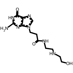 Nc1nc2c(ncn2CCC(=O)NCCNCCO)c(=O)[nH]1